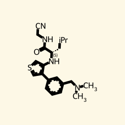 CC(C)C[C@H](Nc1cscc1-c1cccc(CN(C)C)c1)C(=O)NCC#N